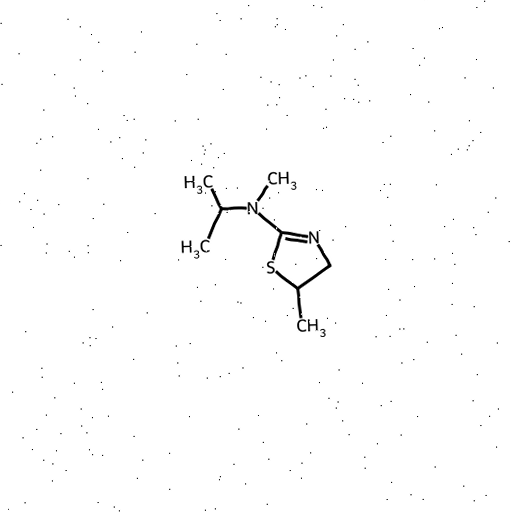 CC1CN=C(N(C)C(C)C)S1